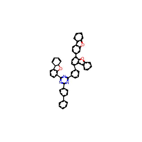 C1=CC2Oc3c(-c4nc(-c5ccc(-c6ccccc6)cc5)nc(-c5cccc(-c6ccc(-c7ccc8c(c7)oc7ccccc78)c7oc8ccccc8c67)c5)n4)cccc3C2C=C1